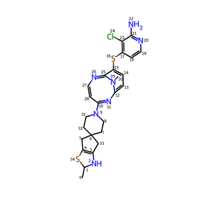 CC1NC2=C(CC3(CCN(/C4=N/C5=CC=C(Sc6ccnc(N)c6Cl)/C(=N/C=C4)N5C)CC3)C2)S1